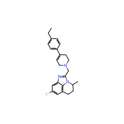 CCc1ccc(C2=CCN(Cc3nc4cc(F)cc5c4n3C(C)CC5)CC2)cc1